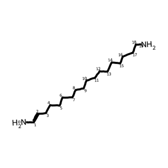 NC=CCCCCCCCCCCCCCCCCN